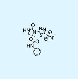 CN(C)S(=O)(=O)c1nnc(N2C(=O)NCC2(C)OC(=O)Nc2ccccc2)s1